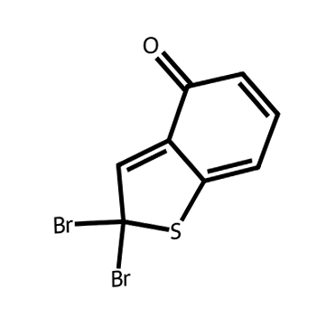 O=C1C=CC=C2SC(Br)(Br)C=C12